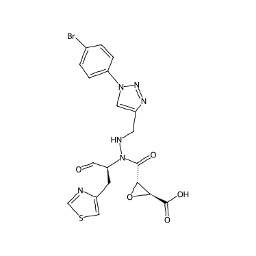 O=C[C@H](Cc1cscn1)N(NCc1cn(-c2ccc(Br)cc2)nn1)C(=O)[C@H]1O[C@@H]1C(=O)O